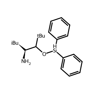 CC[C@H](C)[C@H](N)C(O[SiH](c1ccccc1)c1ccccc1)C(C)(C)C